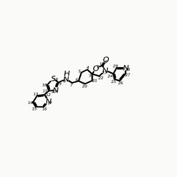 O=C1OC2(CCC(CNc3nc(-c4ccccn4)cs3)CC2)CN1c1cccnc1